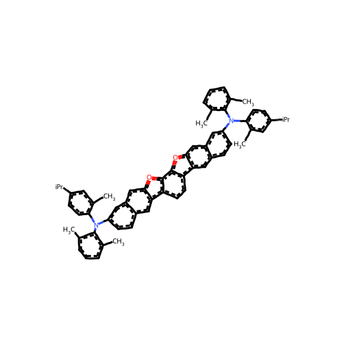 Cc1cc(C(C)C)ccc1N(c1ccc2cc3c(cc2c1)oc1c3ccc2c3cc4ccc(N(c5ccc(C(C)C)cc5C)c5c(C)cccc5C)cc4cc3oc21)c1c(C)cccc1C